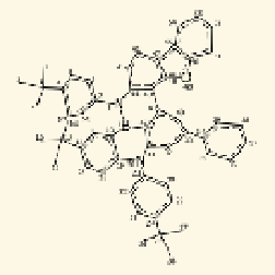 CC(C)(C)c1ccc(N2B3c4cc(C(C)(C)C)ccc4N(c4ccc(C(C)(C)C)cc4)c4cc(-c5ccccc5)cc(c43)-c3c2ccc2c3oc3ccccc32)cc1